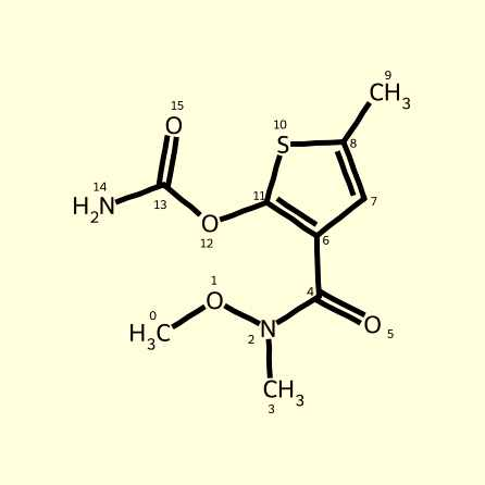 CON(C)C(=O)c1cc(C)sc1OC(N)=O